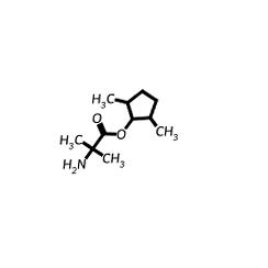 CC1CCC(C)C1OC(=O)C(C)(C)N